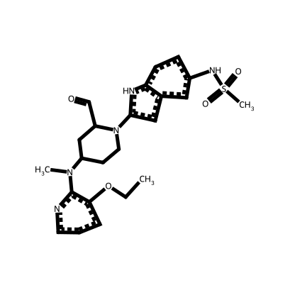 CCOc1cccnc1N(C)C1CCN(c2cc3cc(NS(C)(=O)=O)ccc3[nH]2)C(C=O)C1